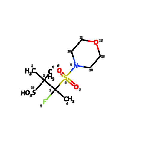 CC(C)(C(C)(F)S(=O)(=O)N1CCOCC1)S(=O)(=O)O